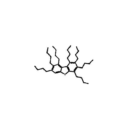 CCCCc1cc2c(c(CCCC)c1CCCC)-c1c(c(CCCC)c(CCCC)c(CCCC)c1CCCC)[CH]2